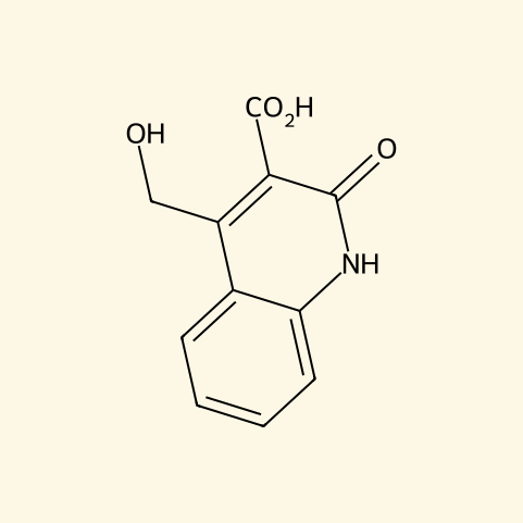 O=C(O)c1c(CO)c2ccccc2[nH]c1=O